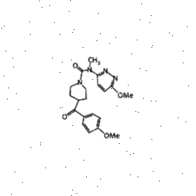 COc1ccc(C(=O)C2CCN(C(=O)N(C)c3ccc(OC)nn3)CC2)cc1